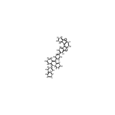 c1ccc2cc(-c3c4ccccc4c(-c4ccc(-c5ccc6c(c5)oc5ccc7oc8ccccc8c7c56)cc4)c4ccccc34)ccc2c1